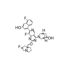 Oc1cc(-c2ncc3c(N4C[C@@H]5C[C@H](C4)[C@H](O)C5)nc(OC[C@@]45CCCN4C[C@H](F)C5)nc3c2F)c2cccc(F)c2c1